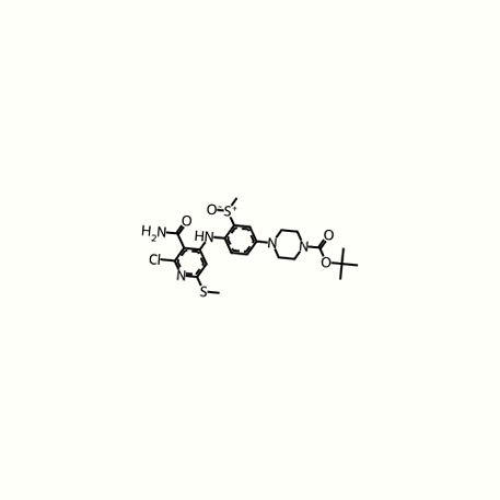 CSc1cc(Nc2ccc(N3CCN(C(=O)OC(C)(C)C)CC3)cc2[S+](C)[O-])c(C(N)=O)c(Cl)n1